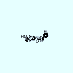 CCc1cccc(-c2cnc(C(=O)N[C@@H]3C[C@@H](Cn4ccnn4)N(C(=O)O)C3)o2)c1